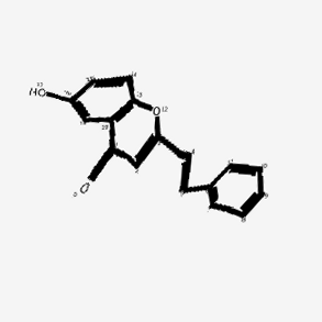 O=c1cc(C=Cc2ccccc2)oc2ccc(O)cc12